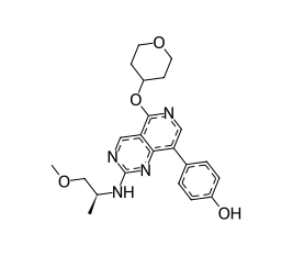 COC[C@H](C)Nc1ncc2c(OC3CCOCC3)ncc(-c3ccc(O)cc3)c2n1